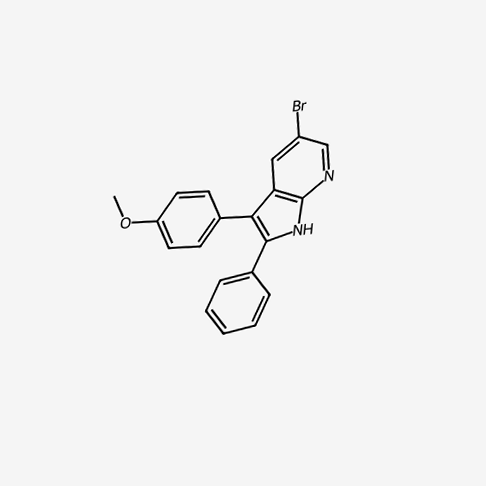 COc1ccc(-c2c(-c3ccccc3)[nH]c3ncc(Br)cc23)cc1